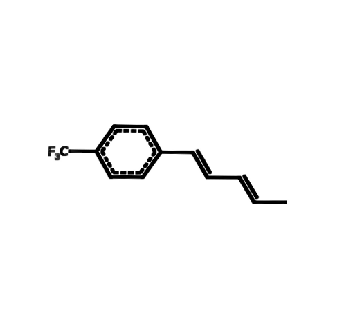 CC=CC=Cc1ccc(C(F)(F)F)cc1